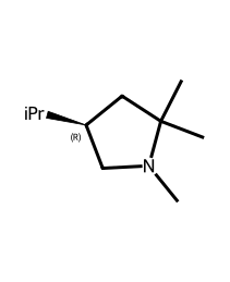 CC(C)[C@@H]1CN(C)C(C)(C)C1